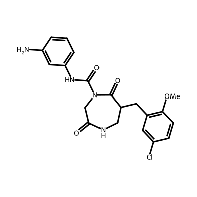 COc1ccc(Cl)cc1CC1CNC(=O)CN(C(=O)Nc2cccc(N)c2)C1=O